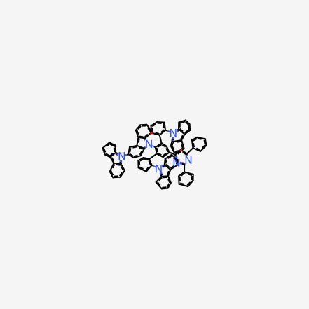 c1ccc(-c2cc(-c3cc(-c4ccccc4-n4c5ccccc5c5ccccc54)c(-n4c5ccccc5c5cc(-n6c7ccccc7c7ccccc76)ccc54)c(-c4ccccc4-n4c5ccccc5c5ccccc54)c3)nc(-c3ccccc3)n2)cc1